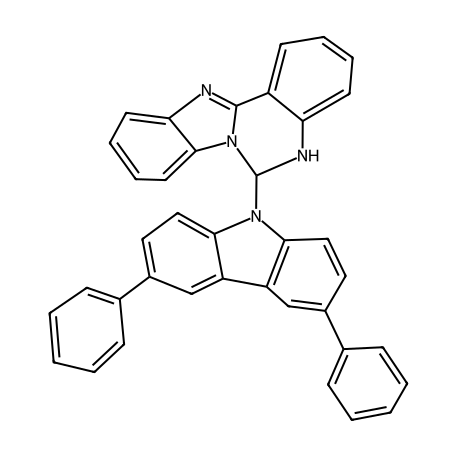 c1ccc(-c2ccc3c(c2)c2cc(-c4ccccc4)ccc2n3C2Nc3ccccc3-c3nc4ccccc4n32)cc1